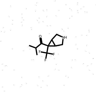 CC(C)C(=O)C1(C(F)(F)F)C2CNCC21